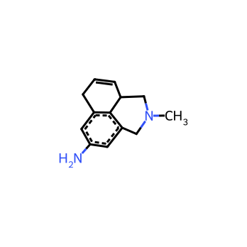 CN1Cc2cc(N)cc3c2C(C=CC3)C1